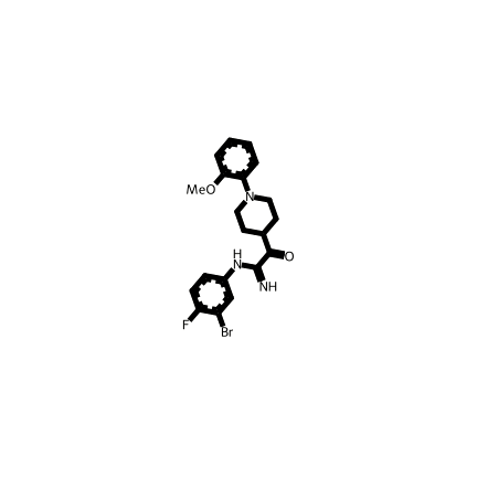 COc1ccccc1N1CCC(C(=O)C(=N)Nc2ccc(F)c(Br)c2)CC1